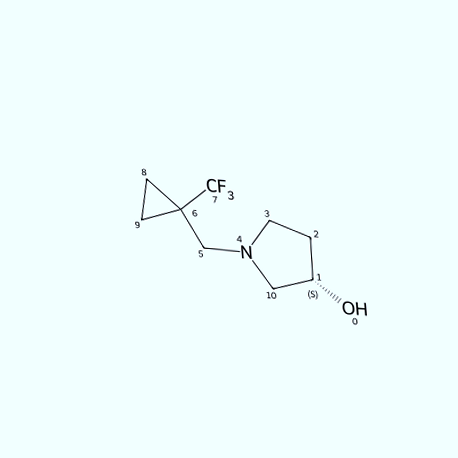 O[C@H]1CCN(CC2(C(F)(F)F)CC2)C1